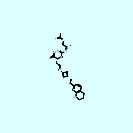 CC(=O)NC[C@H](C)OC(=O)N[C@@H](CCO[C@H]1C[C@H](CCc2ccc3c(n2)NCCC3)C1)C(=O)O